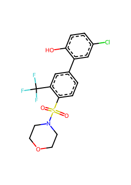 O=S(=O)(c1ccc(-c2cc(Cl)ccc2O)cc1C(F)(F)F)N1CCOCC1